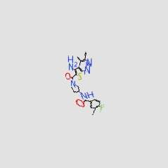 Cc1cc(C(=O)NC2CCN(C(=O)c3sc4nnc(C)c(C)c4c3N)C2)ccc1F